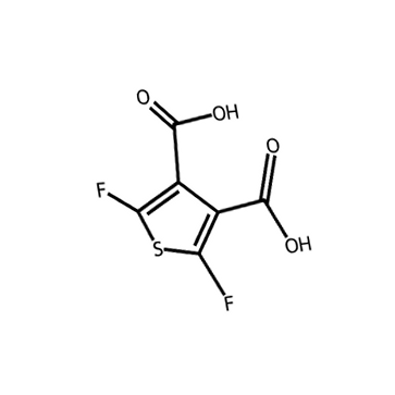 O=C(O)c1c(F)sc(F)c1C(=O)O